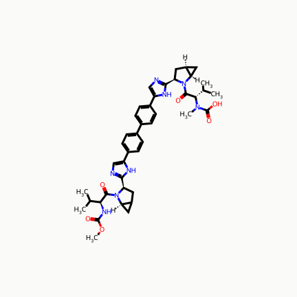 COC(=O)N[C@H](C(=O)N1[C@@H](c2ncc(-c3ccc(-c4ccc(-c5cnc([C@H]6C[C@H]7C[C@H]7N6C(=O)[C@H](C(C)C)N(C)C(=O)O)[nH]5)cc4)cc3)[nH]2)CC2C[C@H]21)C(C)C